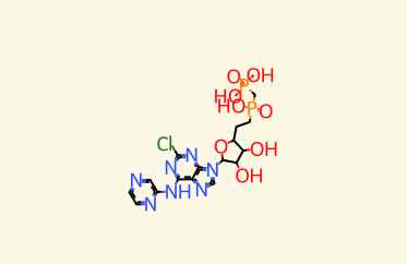 O=P(O)(O)CP(=O)(O)CCC1OC(n2cnc3c(Nc4cnccn4)nc(Cl)nc32)C(O)C1O